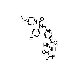 CCN1CCN(C(=O)N(Cc2ccc(C(=O)NNC(=O)C(F)F)cn2)c2ccc(F)cc2)CC1